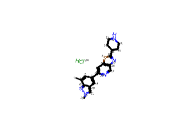 Cc1cc(-c2cc3sc(C4CCNCC4)nc3cn2)cc2cn(C)nc12.Cl